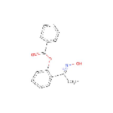 CCOC(=O)/C(=N\O)c1ccccc1OC(=O)c1ccccc1